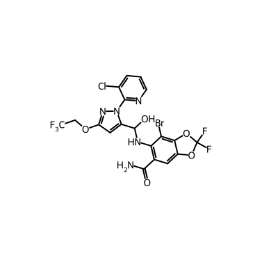 NC(=O)c1cc2c(c(Br)c1NC(O)c1cc(OCC(F)(F)F)nn1-c1ncccc1Cl)OC(F)(F)O2